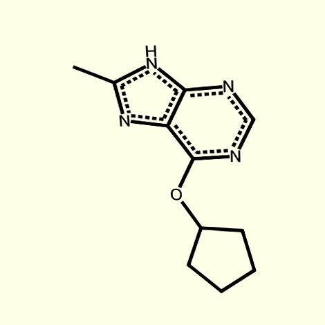 Cc1nc2c(OC3CCCC3)ncnc2[nH]1